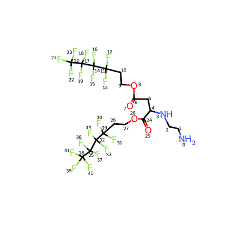 NCCNC(CC(=O)OCCC(F)(F)C(F)(F)C(F)(F)C(F)(F)F)C(=O)OCCC(F)(F)C(F)(F)C(F)(F)C(F)(F)F